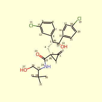 C=C1C[C@@]1(C[C@H](c1cccc(Cl)c1)[C@@H](O)c1ccc(Cl)cc1)C(=O)NC(CO)C(C)(C)C